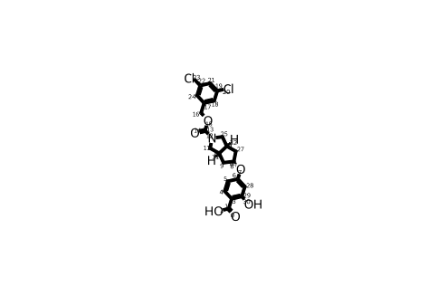 O=C(O)c1ccc(O[C@@H]2C[C@@H]3CN(C(=O)OCc4cc(Cl)cc(Cl)c4)C[C@@H]3C2)cc1O